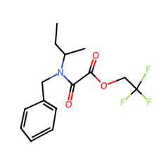 CCC(C)N(Cc1ccccc1)C(=O)C(=O)OCC(F)(F)F